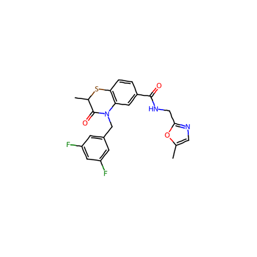 Cc1cnc(CNC(=O)c2ccc3c(c2)N(Cc2cc(F)cc(F)c2)C(=O)C(C)S3)o1